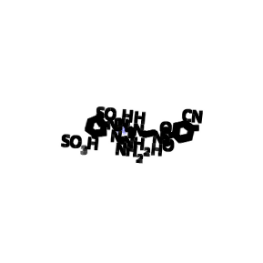 C=C(/N=C(\N=C(N)N)Nc1cc(S(=O)(=O)O)ccc1S(=O)(=O)O)NCCNS(=O)(=O)c1ccc(C)c(C#N)c1